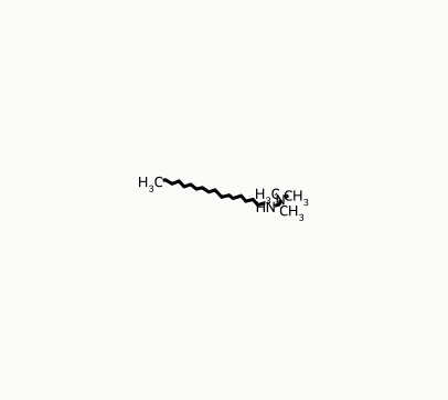 CCCCCCCCCCCCCCCCCCNC(C)N(C)C